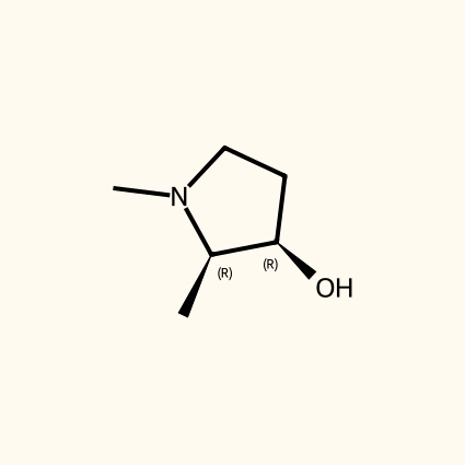 C[C@@H]1[C@H](O)CCN1C